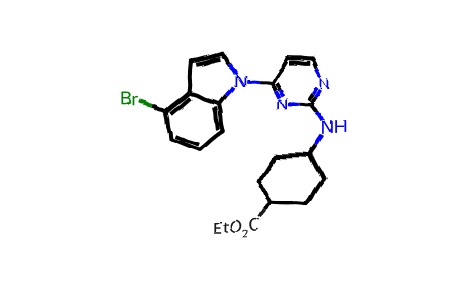 CCOC(=O)C1CCC(Nc2nccc(-n3ccc4c(Br)cccc43)n2)CC1